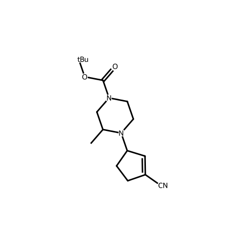 CC1CN(C(=O)OC(C)(C)C)CCN1C1C=C(C#N)CC1